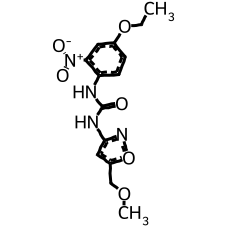 CCOc1ccc(NC(=O)Nc2cc(COC)on2)c([N+](=O)[O-])c1